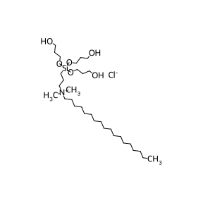 CCCCCCCCCCCCCCCCCC[N+](C)(C)CCC[Si](OCCCO)(OCCCO)OCCCO.[Cl-]